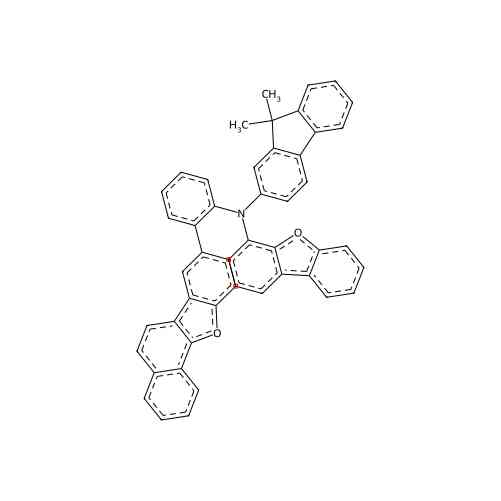 CC1(C)c2ccccc2-c2ccc(N(c3ccccc3-c3ccc4oc5c6ccccc6ccc5c4c3)c3cccc4c3oc3ccccc34)cc21